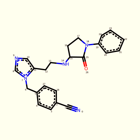 N#Cc1ccc(Cn2cncc2CCNC2CCN(c3ccccc3)C2=O)cc1